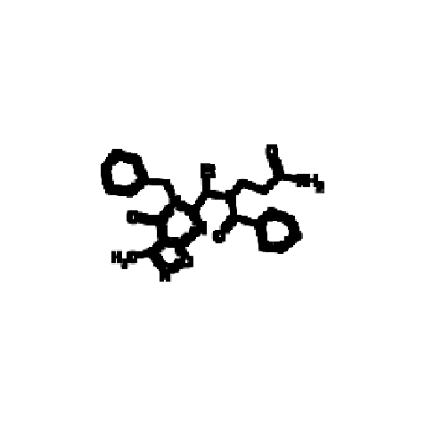 CCC(c1nc2onc(C)c2c(=O)n1Cc1ccccc1)N(CCC(N)=O)C(=O)c1ccccc1